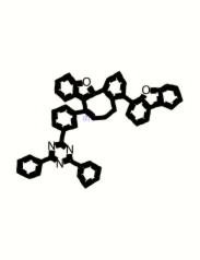 C1=C(/c2cccc(-c3nc(-c4ccccc4)nc(-c4ccccc4)n3)c2)c2c(oc3ccccc23)-c2cccc(-c3cccc4c3oc3ccccc34)c2CC/1